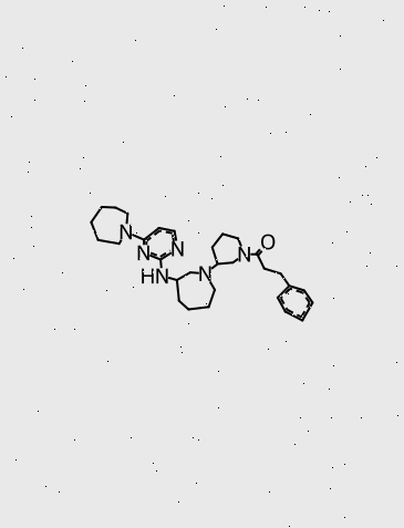 O=C(CCc1ccccc1)N1CCCC(N2CCCCC(Nc3nccc(N4CCCCCC4)n3)C2)C1